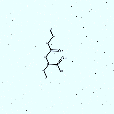 CCCC(=O)CC(CC)C(C)=O